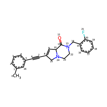 Cc1cccc(C#CC2=CC3C(=O)N(Cc4ccccc4F)CCN3C2)c1